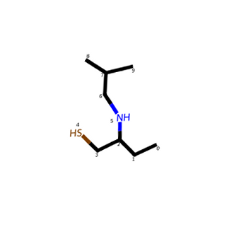 CCC(CS)NCC(C)C